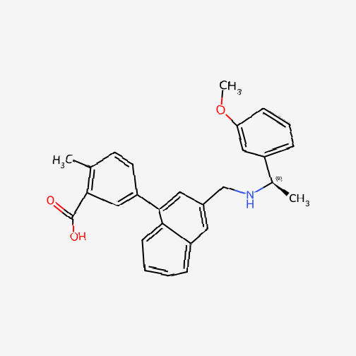 COc1cccc([C@@H](C)NCc2cc(-c3ccc(C)c(C(=O)O)c3)c3ccccc3c2)c1